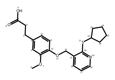 COc1cc(CCC(=O)O)ccc1OCc1cccnc1SC1CCCC1